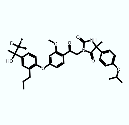 CCCc1cc(C(C)(O)C(F)(F)F)ccc1Oc1ccc(C(=O)CN2C(=O)NC(C)(c3ccc(OC(C)C)cc3)C2=O)c(OC)c1